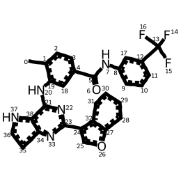 Cc1ccc(C(=O)Nc2cccc(C(F)(F)F)c2)cc1Nc1nc(-c2coc3ccccc23)nc2cc[nH]c12